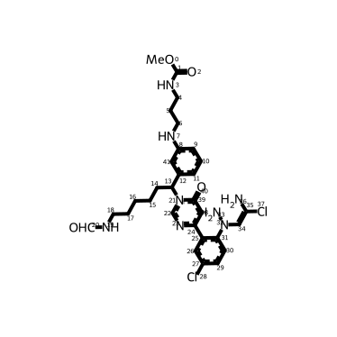 COC(=O)NCCCNc1cccc(C(CCCCCNC=O)n2cnc(-c3cc(Cl)ccc3N(N)/C=C(\N)Cl)cc2=O)c1